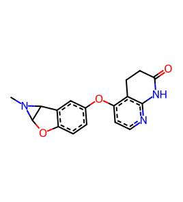 CN1C2Oc3ccc(Oc4ccnc5c4CCC(=O)N5)cc3C21